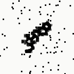 C[C@@H](O)[C@H](NC(=O)OC(C)(C)C)C(=O)N[C@H]1CCc2ccccc2NC1=O